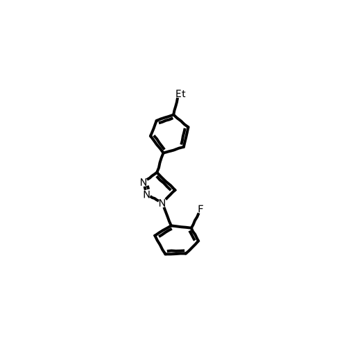 CCc1ccc(-c2cn(-c3ccccc3F)nn2)cc1